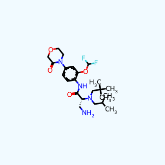 CC(C)CN(CC(C)(C)C)[C@H](CN)C(=O)Nc1ccc(N2CCOCC2=O)cc1OC(F)F